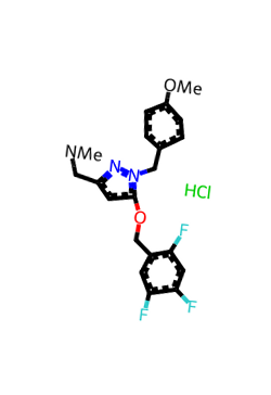 CNCc1cc(OCc2cc(F)c(F)cc2F)n(Cc2ccc(OC)cc2)n1.Cl